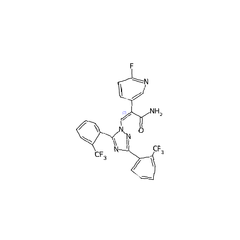 NC(=O)/C(=C\n1nc(-c2ccccc2C(F)(F)F)nc1-c1ccccc1C(F)(F)F)c1ccc(F)nc1